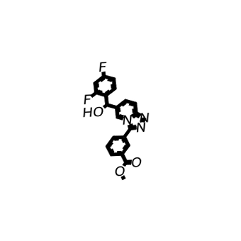 COC(=O)c1cccc(-c2nnc3ccc(C(O)c4ccc(F)cc4F)cn23)c1